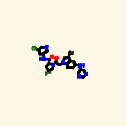 CC(=O)c1cn(CC(=O)N2C[C@H](F)C[C@H]2C(=O)Nc2cncc(Cl)c2)c2ccc(Nc3cncnc3)cc12